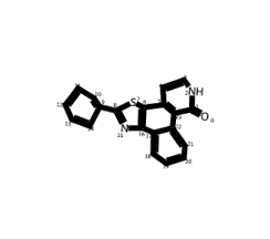 O=c1[nH]ccc2c3sc(-c4ccccc4)nc3c3ccccc3c12